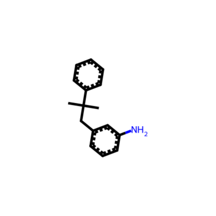 CC(C)(Cc1cccc(N)c1)c1ccccc1